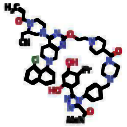 C=CC(=O)N1CCN(c2nc(OCCN3CCC(C(=O)N4CCN(Cc5ccc(-n6c(C(=O)NC)nnc6-c6cc(C(C)C)c(O)cc6O)cc5)CC4)CC3)nc3c2CCN(c2cccc4cccc(Cl)c24)C3)CC1CC#N